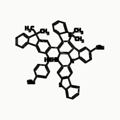 CC(C)(C)c1ccc(Nc2cc3c(cc2-c2c4c(c5c6cc(C(C)(C)C)ccc6n6c5c2Bc2cc5sc7ccccc7c5cc2-6)[Si](C)(C)c2ccccc2-4)C(C)(C)c2ccccc2-3)cc1